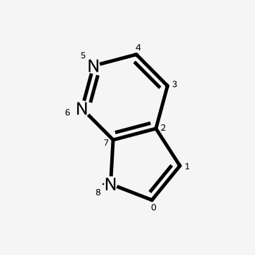 C1=Cc2ccnnc2[N]1